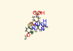 CCOc1ccc(Cl)c(N2Cc3cnc(NC)nc3N(C3CCC(C(=O)O)CC3)C2=O)c1F